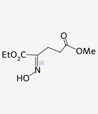 CCOC(=O)/C(CCC(=O)OC)=N\O